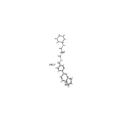 Cl.c1nc2cc(-c3ccc(OCCNCCC4CCCCC4)cc3)ccc2[nH]1